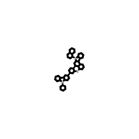 c1ccc(-n2c3ccccc3c3cc(-c4ccc5c(c4)Sc4cccc6c4c-5cc4c6c5ccccc5n4-c4cccc5ccccc45)ccc32)cc1